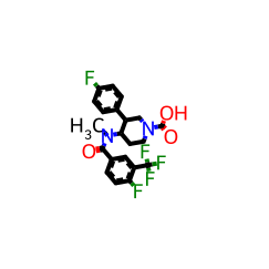 CN(C(=O)c1ccc(F)c(C(F)(F)F)c1)C1CCN(C(=O)O)CC1c1ccc(F)cc1